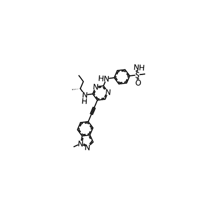 CC[C@@H](C)Nc1nc(Nc2ccc(S(C)(=N)=O)cc2)ncc1C#Cc1ccc2c(cnn2C)c1